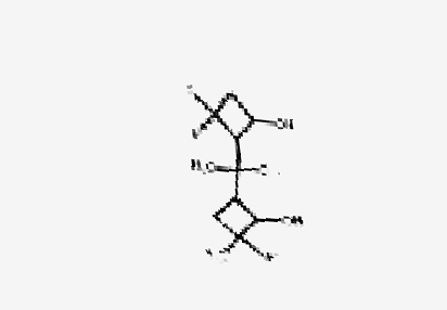 CC(C)C1(C)CC(C(C)(C)C2C(O)CC2(F)F)C1O